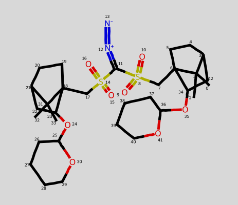 CC1(C)C2CCC1(CS(=O)(=O)C(=[N+]=[N-])S(=O)(=O)CC13CCC(CC1OC1CCCCO1)C3(C)C)C(OC1CCCCO1)C2